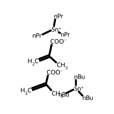 C=C(C)C(=O)[O-].C=C(C)C(=O)[O-].CCC[CH2][Sn+]([CH2]CCC)[CH2]CCC.CC[CH2][Sn+]([CH2]CC)[CH2]CC